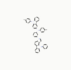 Cc1ccc(N(c2cccc(-n3ccc4c3ccc3c5ccccc5n(-c5ccccc5)c34)c2)c2ccc3c(c2)c2ccccc2n3-c2ccc(C)cc2)cc1